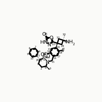 C[C@H]1CC[C@H](c2ccccc2)S(=O)(=O)N1Cc1cc(F)c([C@]2(c3n[nH]c(=O)o3)C[C@](C)(N)C2)cc1F